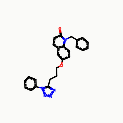 O=c1ccc2cc(OCCCc3nnnn3-c3ccccc3)ccc2n1Cc1ccccc1